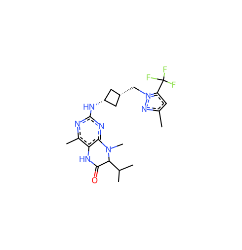 Cc1cc(C(F)(F)F)n(C[C@H]2C[C@@H](Nc3nc(C)c4c(n3)N(C)C(C(C)C)C(=O)N4)C2)n1